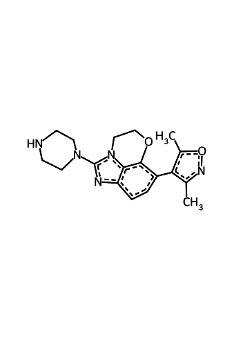 Cc1noc(C)c1-c1ccc2nc(N3CCNCC3)n3c2c1OCC3